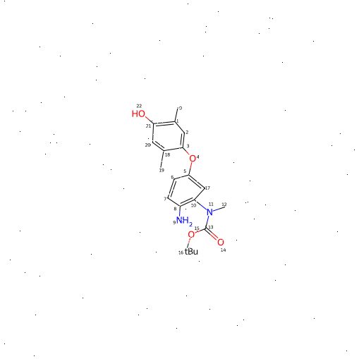 Cc1cc(Oc2ccc(N)c(N(C)C(=O)OC(C)(C)C)c2)c(C)cc1O